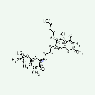 CCCCO[C@@H]([C@H](C)OC(C)=O)[C@H](CCC/C=C(\NC(=O)OC(C)(C)C)C(=O)OC)OCCCC